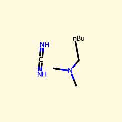 CCCCCN(C)C.N=C=N